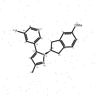 COc1ccc2c(c1)C[C@H](n1nc(C)cc1-c1cncc(F)c1)C2